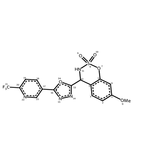 COc1ccc2c(c1)OS(=O)(=O)NC2c1nnc(-c2ccc(C(F)(F)F)nc2)o1